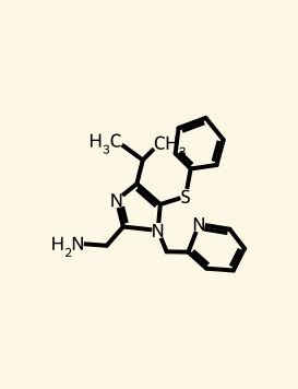 CC(C)c1nc(CN)n(Cc2ccccn2)c1Sc1ccccc1